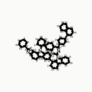 c1ccc(-c2nc3ccc4c5cc(-c6cccc7c8ccccc8n(-c8nc(-c9ccc(-c%10cccc%11ccccc%10%11)cc9)c9ccccc9n8)c67)ccc5n(-c5ccccc5)c4c3s2)cc1